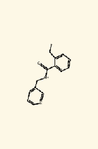 CCc1ccccc1C(=O)NCc1cccnc1